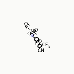 N#Cc1ccc(Oc2ccc(/C=C3\SC(=O)N(CCN4CCOCC4)C3=O)cc2F)c(C(F)(F)F)c1